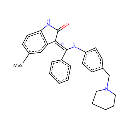 CSc1ccc2c(c1)/C(=C(/Nc1ccc(CN3CCCCC3)cc1)c1ccccc1)C(=O)N2